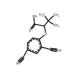 C#Cc1cc(C#N)ccc1OC(C(=O)O)C(C)(C)C